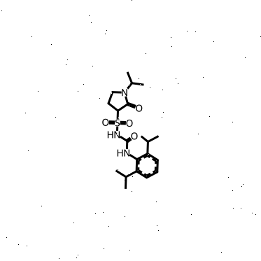 CC(C)c1cccc(C(C)C)c1NC(=O)NS(=O)(=O)C1CCN(C(C)C)C1=O